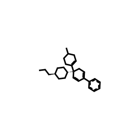 CCC[C@H]1CC[C@H](C2(C3=CCC(C)CC3)C=CC(c3ccccc3)=CC2)CC1